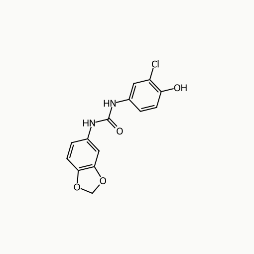 O=C(Nc1ccc(O)c(Cl)c1)Nc1ccc2c(c1)OCO2